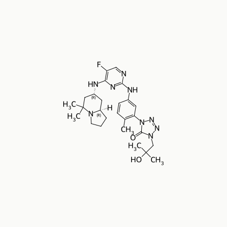 Cc1ccc(Nc2ncc(F)c(N[C@@H]3C[C@H]4CCCN4C(C)(C)C3)n2)cc1-n1nnn(CC(C)(C)O)c1=O